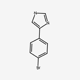 Brc1ccc(C2=C[N]C=N2)cc1